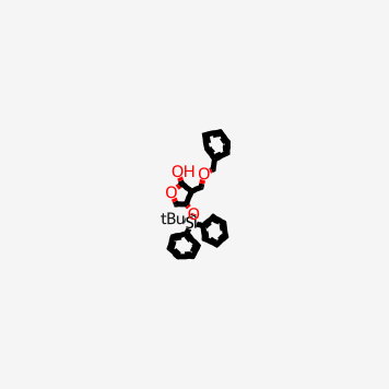 CC(C)(C)[Si](OC1COC(O)C1COCc1ccccc1)(c1ccccc1)c1ccccc1